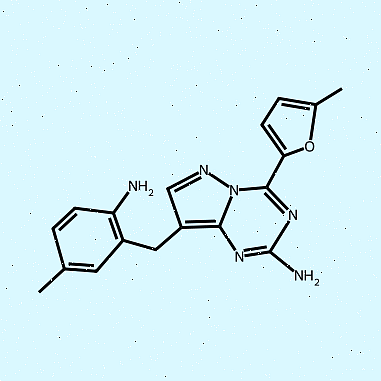 Cc1ccc(N)c(Cc2cnn3c(-c4ccc(C)o4)nc(N)nc23)c1